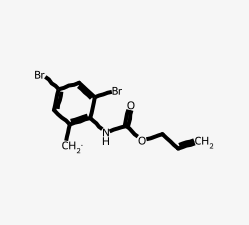 [CH2]c1cc(Br)cc(Br)c1NC(=O)OCC=C